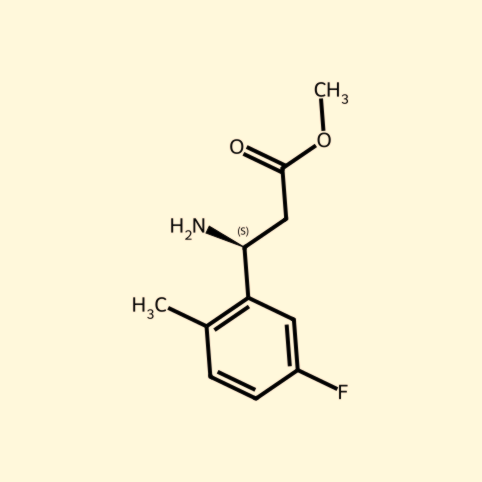 COC(=O)C[C@H](N)c1cc(F)ccc1C